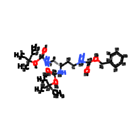 CC(C)(C)OC(=O)NC[C@H](CCNC(=O)OCc1ccccc1)NC(=O)OC(C)(C)C